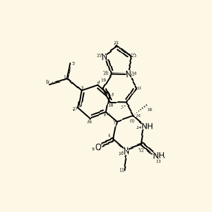 CC(C)c1ccc(C2C(=O)N(C)C(=N)N[C@]2(C)c2ccc3nccn3c2)cc1